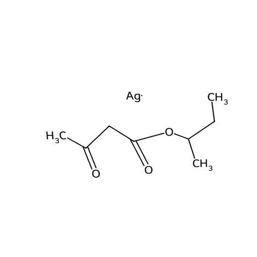 CCC(C)OC(=O)CC(C)=O.[Ag]